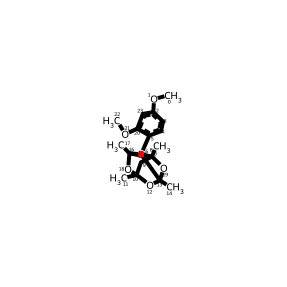 COc1ccc(P2C3(C)CC4(C)OC(C)(CC2(C)O4)O3)c(OC)c1